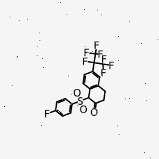 O=C1CCc2cc(C(F)(C(F)(F)F)C(F)(F)F)ccc2C1S(=O)(=O)c1ccc(F)cc1